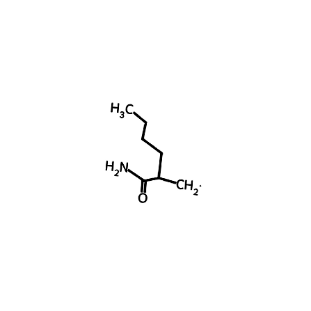 [CH2]C(CCCC)C(N)=O